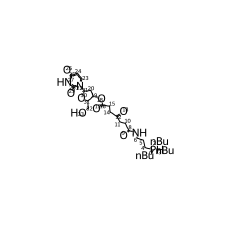 CCCC[PH](CCCC)(CCCC)CCCNC(=O)CCC(=O)CCC(=O)O[C@@H]1C[C@H](n2ccc(=O)[nH]c2=O)O[C@@H]1CO